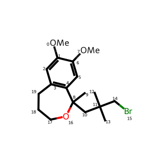 COc1cc2c(cc1OC)C(C)(CC(C)(C)CBr)OCCC2